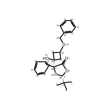 CC(C)(C)[C@H]1OC(=O)[C@@](c2ccccc2)(C2(O)CC(OCc3ccccc3)C2)O1